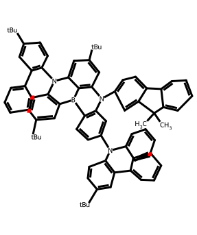 CC(C)(C)c1ccc2c(c1)B1c3ccc(N(c4ccccc4)c4ccc(C(C)(C)C)cc4-c4ccccc4)cc3N(c3ccc4c(c3)C(C)(C)c3ccccc3-4)c3cc(C(C)(C)C)cc(c31)N2c1ccc(C(C)(C)C)cc1-c1ccccc1